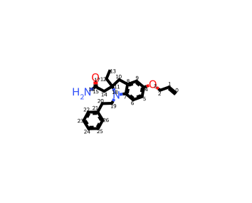 C=CCOc1ccc2c(c1)CC(CC)(CC(N)=O)N2CCc1ccccc1